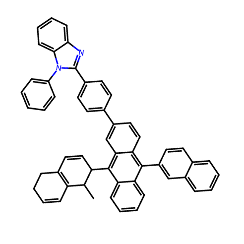 CC1C2=C(C=CC1c1c3ccccc3c(-c3ccc4ccccc4c3)c3ccc(-c4ccc(-c5nc6ccccc6n5-c5ccccc5)cc4)cc13)CCC=C2